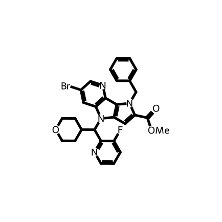 COC(=O)c1cc2c(c3ncc(Br)cc3n2C(c2ncccc2F)C2CCOCC2)n1Cc1ccccc1